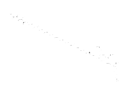 CB(O)NCCCCN(CC(CCCCCCNC(=O)CCCCCCCCCCCCCCCCCCCCCCCNC(=O)[C@H](O)[C@@H](O)[C@H](O)[C@H](O)CO)CN(CCCCNB(C)O)B(C)O)B(C)O